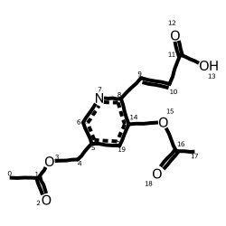 CC(=O)OCc1cnc(C=CC(=O)O)c(OC(C)=O)c1